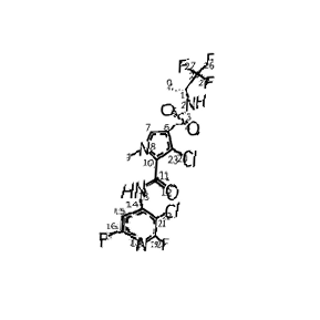 C[C@@H](NS(=O)(=O)c1cn(C)c(C(=O)Nc2cc(F)nc(F)c2Cl)c1Cl)C(F)(F)F